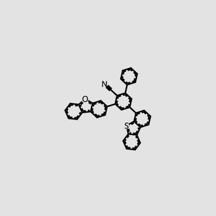 N#Cc1c(-c2ccccc2)cc(-c2cccc3c2sc2ccccc23)cc1-c1ccc2c(c1)oc1ccccc12